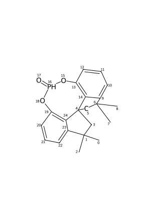 CC1(C)CC23CC(C)(C)c4cccc(c42)O[PH](=O)Oc2cccc1c23